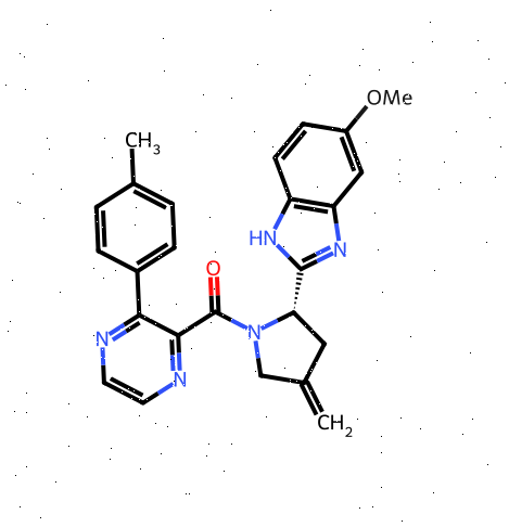 C=C1C[C@@H](c2nc3cc(OC)ccc3[nH]2)N(C(=O)c2nccnc2-c2ccc(C)cc2)C1